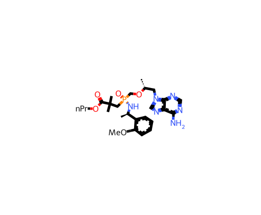 CCCOC(=O)C(C)(C)CP(=O)(CO[C@H](C)Cn1cnc2c(N)ncnc21)N[C@H](C)c1ccccc1OC